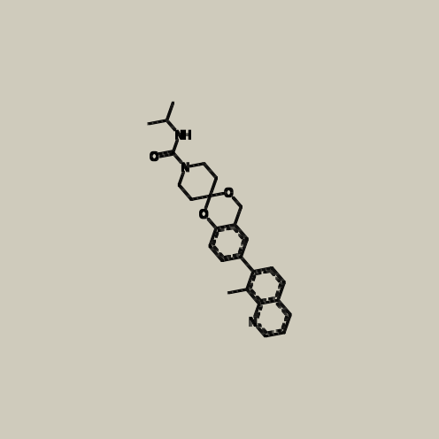 Cc1c(-c2ccc3c(c2)COC2(CCN(C(=O)NC(C)C)CC2)O3)ccc2cccnc12